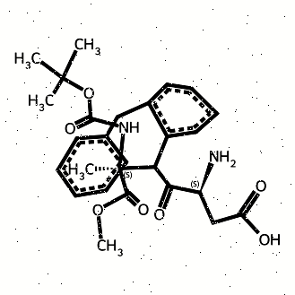 COC(=O)[C@@](C)(NC(=O)OC(C)(C)C)C(C(=O)[C@@H](N)CC(=O)O)c1ccccc1Cc1ccccc1